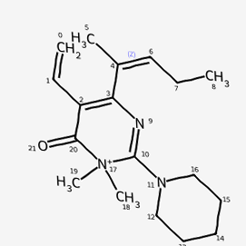 C=CC1=C(/C(C)=C\CC)N=C(N2CCCCC2)[N+](C)(C)C1=O